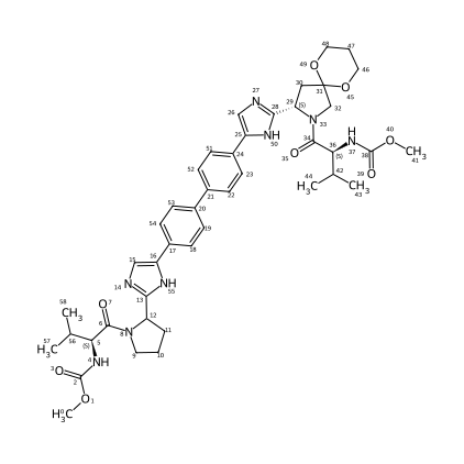 COC(=O)N[C@H](C(=O)N1CCCC1c1ncc(-c2ccc(-c3ccc(-c4cnc([C@@H]5CC6(CN5C(=O)[C@@H](NC(=O)OC)C(C)C)OCCCO6)[nH]4)cc3)cc2)[nH]1)C(C)C